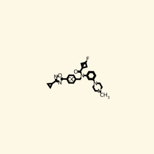 CN1CCN(c2cccc(N(CC34CCC(c5nc(C6CC6)no5)(CC3)CC4)C(=O)C34CC(F)(C3)C4)c2)CC1